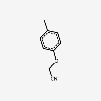 Cc1ccc(OCC#N)cc1